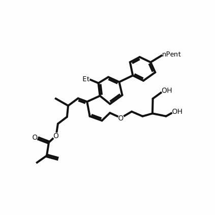 C=C(C)C(=O)OCCC(C)/C=C(\C=C/COCCC(CO)CO)c1ccc(-c2ccc(CCCCC)cc2)cc1CC